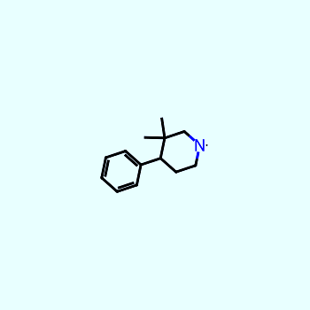 CC1(C)C[N]CCC1c1ccccc1